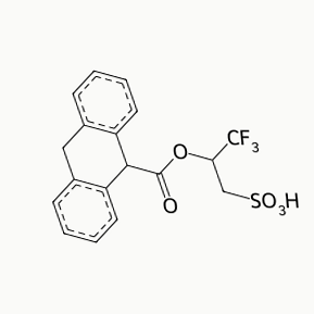 O=C(OC(CS(=O)(=O)O)C(F)(F)F)C1c2ccccc2Cc2ccccc21